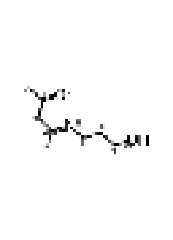 CC(=O)CC(C)=NCCCO